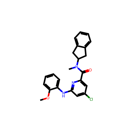 COc1ccccc1Nc1cc(Cl)cc(C(=O)N(C)C2Cc3ccccc3C2)n1